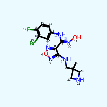 CC1(CNc2nonc2/C(=N/O)Nc2ccc(F)c(Br)c2)CNC1